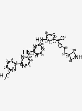 Cc1cccc(-c2nccc(Nc3ccnc(Nc4csc(C(=O)OCCC5CNC5)c4)n3)n2)n1